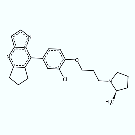 C[C@@H]1CCCN1CCCOc1ccc(-c2c3c(nc4ccnn24)CCC3)cc1Cl